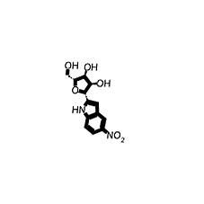 O=[N+]([O-])c1ccc2[nH]c([C@@H]3O[C@H](CO)[C@@H](O)[C@H]3O)cc2c1